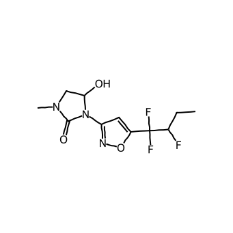 CCC(F)C(F)(F)c1cc(N2C(=O)N(C)CC2O)no1